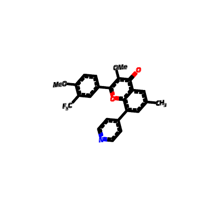 COc1ccc(-c2oc3c(-c4ccncc4)cc(C)cc3c(=O)c2OC)cc1C(F)(F)F